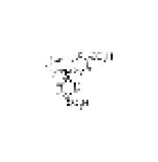 O=C(O)C1CCC(N(C2CCCC2)C2CCC(C(=O)O)CC2)CC1